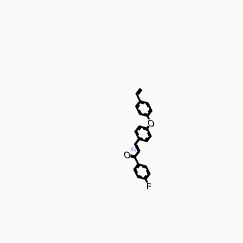 C=Cc1ccc(Oc2ccc(/C=C/C(=O)c3ccc(F)cc3)cc2)cc1